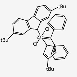 CC(C)(C)C1=C[CH]([Zr]([Cl])([Cl])(=[C](c2ccccc2)c2ccccc2)[CH]2c3cc(C(C)(C)C)ccc3-c3ccc(C(C)(C)C)cc32)C=C1